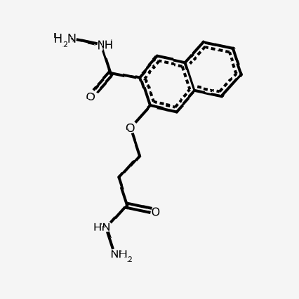 NNC(=O)CCOc1cc2ccccc2cc1C(=O)NN